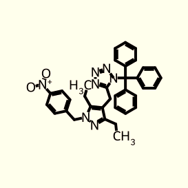 CCc1nn(Cc2ccc([N+](=O)[O-])cc2)c(CC)c1Cc1nnnn1C(c1ccccc1)(c1ccccc1)c1ccccc1